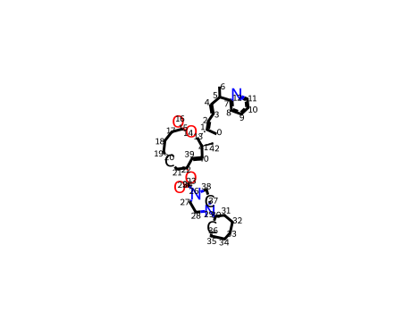 C/C(=C\C=C\C(C)c1ccccn1)[C@H]1OC(=O)CCCCC[C@@H](OC(=O)N2CCN(C3CCCCCC3)CC2)/C=C/[C@@H]1C